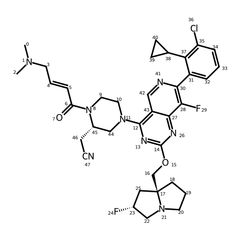 CN(C)C/C=C/C(=O)N1CCN(c2nc(OC[C@@]34CCCN3C[C@H](F)C4)nc3c(F)c(-c4cccc(Cl)c4C4CC4)ncc23)C[C@@H]1CC#N